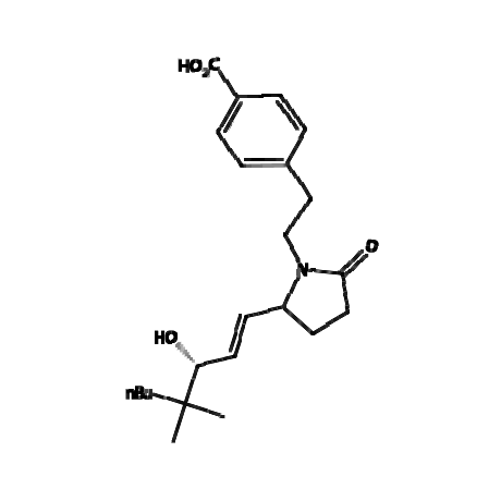 CCCCC(C)(C)[C@H](O)/C=C/C1CCC(=O)N1CCc1ccc(C(=O)O)cc1